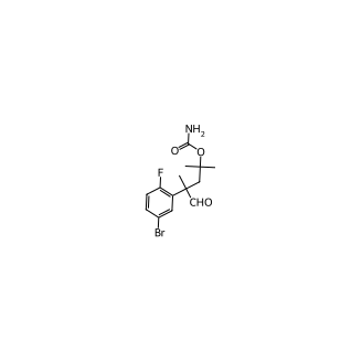 CC(C)(CC(C)(C=O)c1cc(Br)ccc1F)OC(N)=O